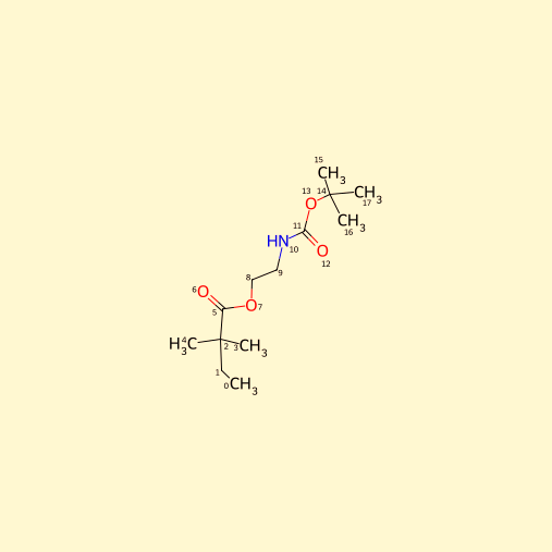 CCC(C)(C)C(=O)OCCNC(=O)OC(C)(C)C